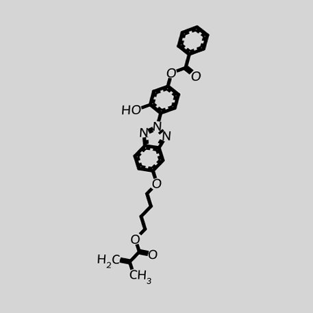 C=C(C)C(=O)OCCCCOc1ccc2nn(-c3ccc(OC(=O)c4ccccc4)cc3O)nc2c1